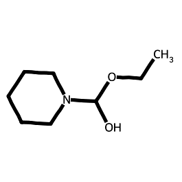 CCOC(O)N1CCCCC1